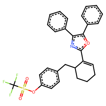 O=S(=O)(Oc1ccc(CC2CCCC=C2c2nc(-c3ccccc3)c(-c3ccccc3)o2)cc1)C(F)(F)F